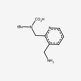 CC(C)(C)N(Cc1ncccc1CN)C(=O)O